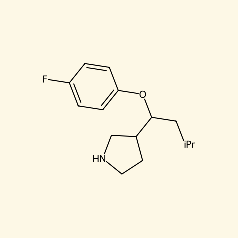 CC(C)CC(Oc1ccc(F)cc1)C1CCNC1